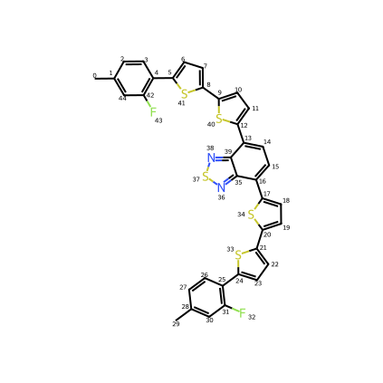 Cc1ccc(-c2ccc(-c3ccc(-c4ccc(-c5ccc(-c6ccc(-c7ccc(C)cc7F)s6)s5)c5nsnc45)s3)s2)c(F)c1